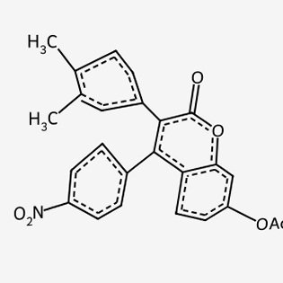 CC(=O)Oc1ccc2c(-c3ccc([N+](=O)[O-])cc3)c(-c3ccc(C)c(C)c3)c(=O)oc2c1